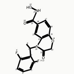 CC(c1c(F)cccc1F)N1C(=O)COc2ccc(C(=O)NO)cc21